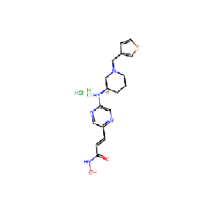 Cl.Cl.O=C(C=Cc1cnc(N[C@@H]2CCCN(Cc3ccsc3)C2)cn1)NO